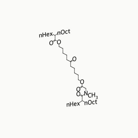 CCCCCCCCC(CCCCCC)C(=O)OCCCCCC(=O)CCCCCOC(=O)CN(C)C(=O)C(CCCCCC)CCCCCCCC